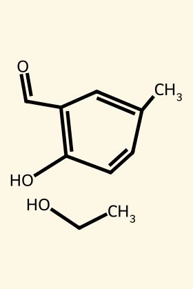 CCO.Cc1ccc(O)c(C=O)c1